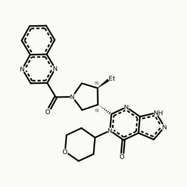 CC[C@@H]1CN(C(=O)c2cnc3ccccc3n2)C[C@H]1c1nc2[nH]ncc2c(=O)n1C1CCOCC1